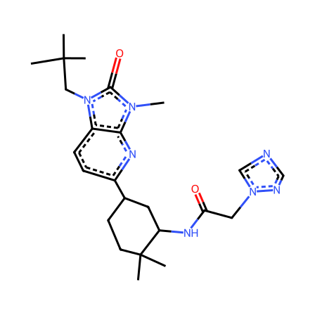 Cn1c(=O)n(CC(C)(C)C)c2ccc(C3CCC(C)(C)C(NC(=O)Cn4cncn4)C3)nc21